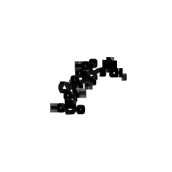 Cn1nnnc1SCC1=C(C(=O)O)N2C(=O)C(NC(=O)C(NC(=O)Cn3nc(O)ccc3=O)c3ccccc3)[C@H]2SC1